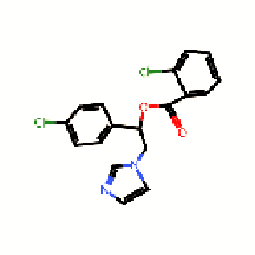 O=C(OC(Cn1ccnc1)c1ccc(Cl)cc1)c1ccccc1Cl